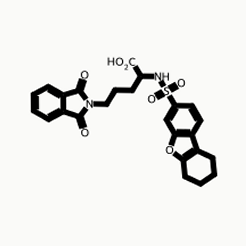 O=C(O)C(CCCN1C(=O)c2ccccc2C1=O)NS(=O)(=O)c1ccc2c3c(oc2c1)CCCC3